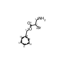 NCC(Br)C(=O)OCc1ccccc1